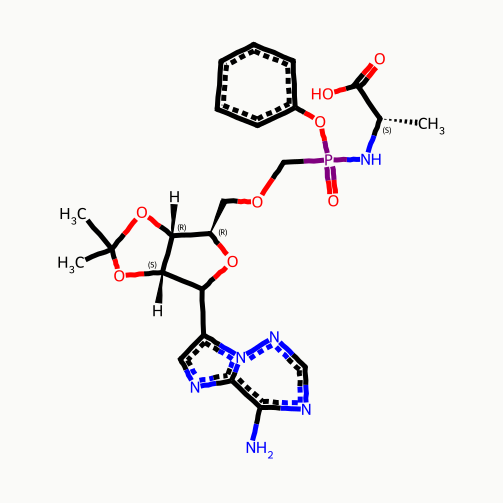 C[C@H](NP(=O)(COC[C@H]1OC(c2cnc3c(N)ncnn23)[C@@H]2OC(C)(C)O[C@H]12)Oc1ccccc1)C(=O)O